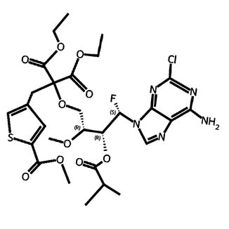 CCOC(=O)C(Cc1csc(C(=O)OC)c1)(OC[C@@H](OC)[C@@H](OC(=O)C(C)C)[C@H](F)n1cnc2c(N)nc(Cl)nc21)C(=O)OCC